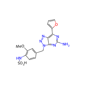 COc1cc(Cn2nnc3c(-c4ccco4)nc(N)nc32)ccc1NS(=O)(=O)O